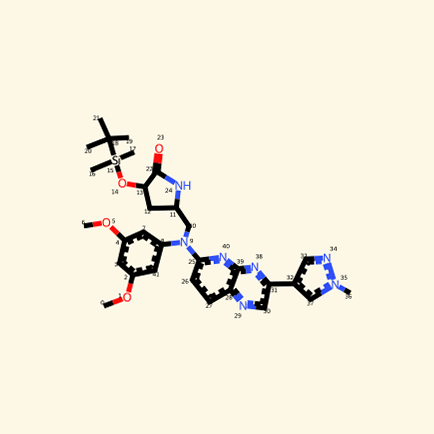 COc1cc(OC)cc(N(CC2CC(O[Si](C)(C)C(C)(C)C)C(=O)N2)c2ccc3ncc(-c4cnn(C)c4)nc3n2)c1